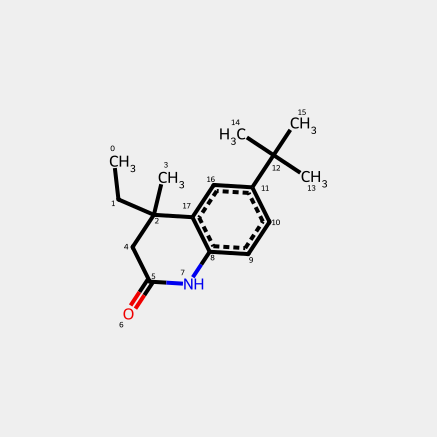 CCC1(C)CC(=O)Nc2ccc(C(C)(C)C)cc21